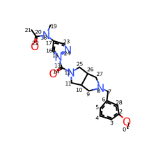 COc1cccc(CN2CC3CN(C(=O)n4cc(N(C)C(C)=O)cn4)CC3C2)c1